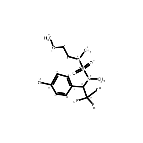 COCCN(C)S(=O)(=O)N(C)C(c1ccc(Cl)cc1)C(F)(F)F